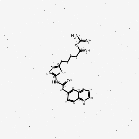 N=C(N)SC(=N)CCCCc1nnc(NC(=O)Cc2ccc3ncccc3c2)s1